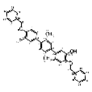 Cc1cc(-c2ccc(OCc3ccccc3)c(F)c2)c(C)cc1-c1ccc(OCc2ccccc2)c(O)c1